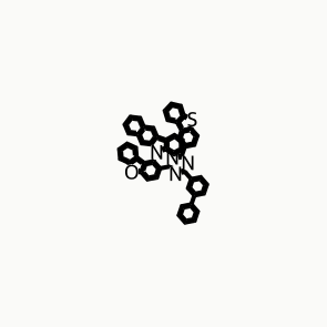 c1ccc(-c2cccc(-c3nc(-c4ccc5sc6ccccc6c5c4)nc(-c4ccc5oc6ccccc6c5c4-n4c5ccccc5c5cc6ccccc6cc54)n3)c2)cc1